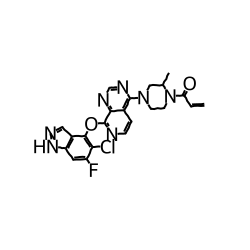 C=CC(=O)N1CCN(c2ncnc3c(Oc4c(Cl)c(F)cc5[nH]ncc45)nccc23)CC1C